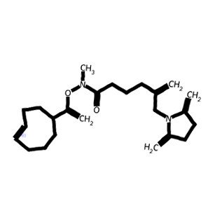 C=C(CCCC(=O)N(C)OC(=C)C1CC/C=C/CCC1)CN1C(=C)CCC1=C